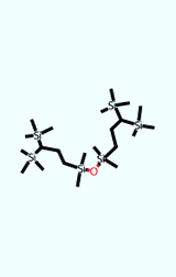 C[Si](C)(CCC([Si](C)(C)C)[Si](C)(C)C)O[Si](C)(C)CCC([Si](C)(C)C)[Si](C)(C)C